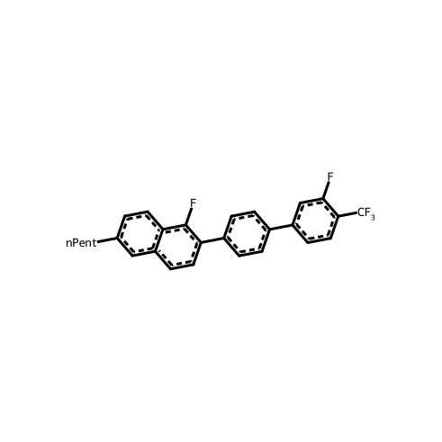 CCCCCc1ccc2c(F)c(-c3ccc(-c4ccc(C(F)(F)F)c(F)c4)cc3)ccc2c1